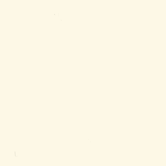 CC/C=C/CCOCCC1CSCC1CCCC/C=C/C(=O)O